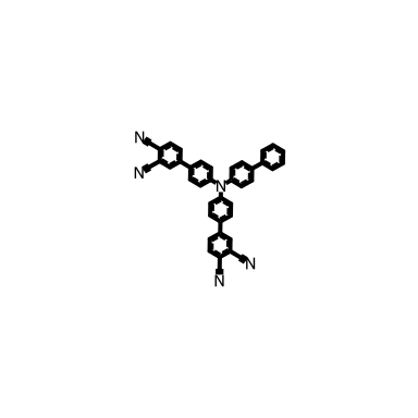 N#Cc1ccc(-c2ccc(N(c3ccc(-c4ccccc4)cc3)c3ccc(-c4ccc(C#N)c(C#N)c4)cc3)cc2)cc1C#N